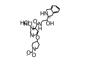 COC(=O)N1CCC(Oc2cc(C(=O)NCC(O)[C@@H]3Cc4ccccc4CN3)ncn2)CC1.Cl.Cl